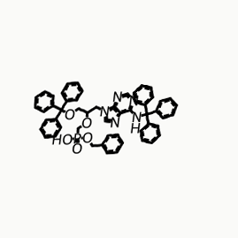 O=P(O)(COC(COC(c1ccccc1)(c1ccccc1)c1ccccc1)Cn1cnc2c(NC(c3ccccc3)(c3ccccc3)c3ccccc3)ncnc21)OCc1ccccc1